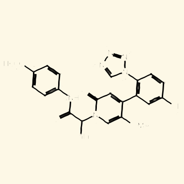 CCCC(C(=O)Nc1ccc(C(=O)O)cc1)n1cc(OC)c(-c2cc(Cl)ccc2-n2cnnn2)cc1=O